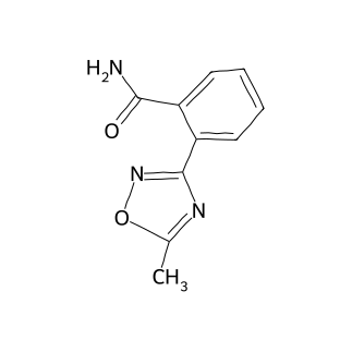 Cc1nc(-c2ccccc2C(N)=O)no1